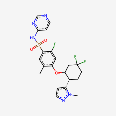 Cc1cc(S(=O)(=O)Nc2ccncn2)c(F)cc1O[C@H]1CC(F)(F)CC[C@@H]1c1ccnn1C